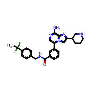 CC(F)(F)c1ccc(CNC(=O)c2cccc(-c3cnc(N)c4nc(C5CCCNC5)cn34)c2)cc1